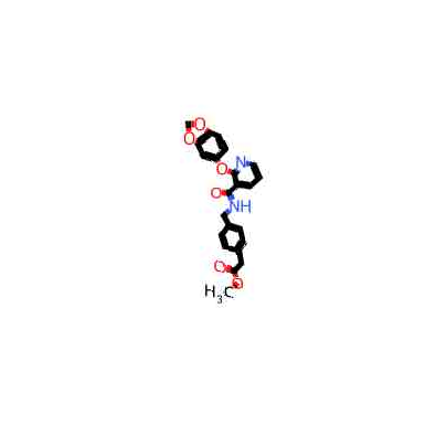 COC(=O)Cc1ccc(CNC(=O)c2cccnc2Oc2ccc3c(c2)OCO3)cc1